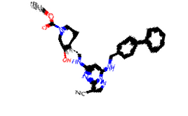 CC(C)(C)OC(=O)N1CC[C@H](CNc2cc(NCc3ccc(-c4ccccc4)cc3)n3ncc(C#N)c3n2)[C@@H](O)C1